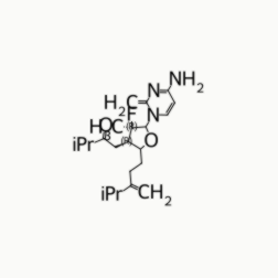 C=C(CCC1OC(N2C=CC(N)=NC2=C)[C@](C)(F)[C@@H]1CC(=O)C(C)C)C(C)C